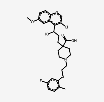 COc1ccc2ncc(Cl)c(C(O)CCC3(C(=O)O)CCN(CCSc4cc(F)ccc4F)CC3)c2c1